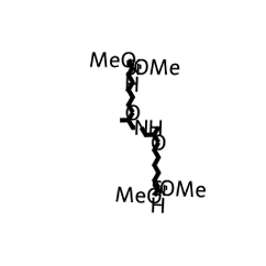 CO[SiH](CCCCCOC(C)CNCC(C)OCCCCC[SiH](OC)OC)OC